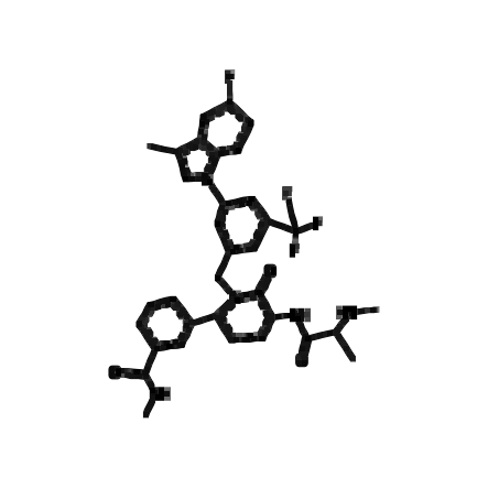 CNC(=O)c1cccc(-c2ccc(NC(=O)C(C)NC)c(=O)n2Cc2cc(-n3cc(C)c4cc(F)ccc43)cc(C(F)(F)F)c2)c1